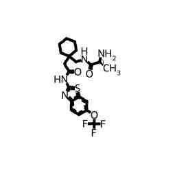 C[C@H](N)C(=O)NCC1(CC(=O)Nc2nc3ccc(OC(F)(F)F)cc3s2)CCCCC1